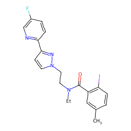 CCN(CCn1ccc(-c2ccc(F)cn2)n1)C(=O)c1cc(C)ccc1I